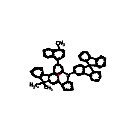 Cc1ccc(-c2cccc(N(c3ccc4c(c3)-c3ccccc3C43c4ccccc4-c4ccccc43)c3ccccc3-c3ccc4c(c3)C(C)(C)c3ccccc3-4)c2)c2ccccc12